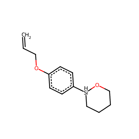 C=CCOc1ccc([SiH]2CCCCO2)cc1